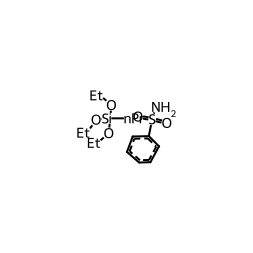 CCC[Si](OCC)(OCC)OCC.NS(=O)(=O)c1ccccc1